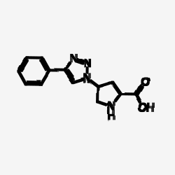 O=C(O)C1CC(n2cc(-c3ccccc3)nn2)CN1